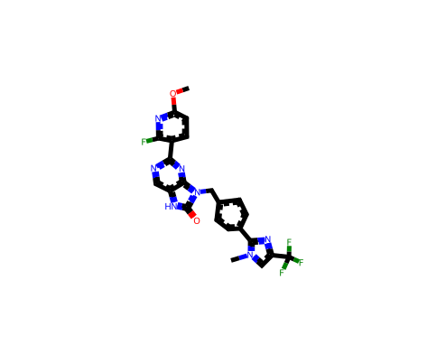 COc1ccc(-c2ncc3[nH]c(=O)n(Cc4ccc(-c5nc(C(F)(F)F)cn5C)cc4)c3n2)c(F)n1